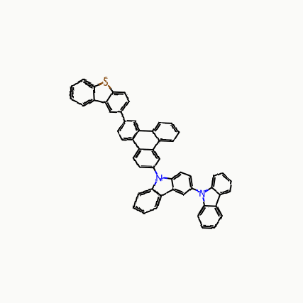 c1ccc2c(c1)sc1ccc(-c3ccc4c5ccc(-n6c7ccccc7c7cc(-n8c9ccccc9c9ccccc98)ccc76)cc5c5ccccc5c4c3)cc12